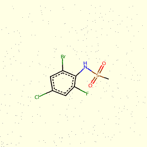 CS(=O)(=O)Nc1c(F)cc(Cl)cc1Br